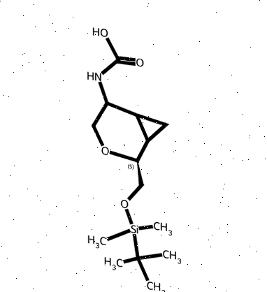 CC(C)(C)[Si](C)(C)OC[C@H]1OCC(NC(=O)O)C2CC21